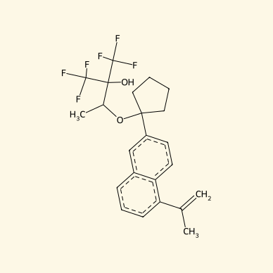 C=C(C)c1cccc2cc(C3(OC(C)C(O)(C(F)(F)F)C(F)(F)F)CCCC3)ccc12